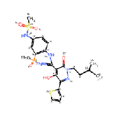 COP1(=O)N=C(c2c(O)c(-c3cccs3)nn(CCC(C)C(F)(F)F)c2=O)Nc2ccc(NS(C)(=O)=O)cc21